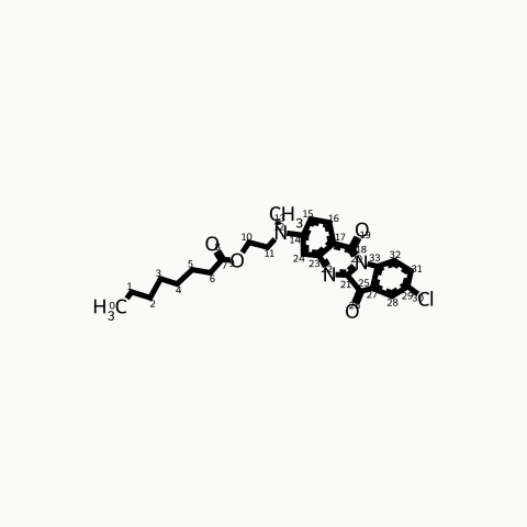 CCCCCCCC(=O)OCCN(C)c1ccc2c(=O)n3c(nc2c1)C(=O)c1cc(Cl)ccc1-3